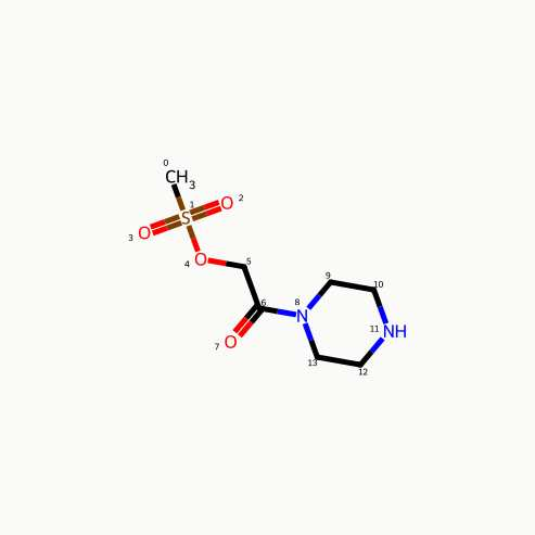 CS(=O)(=O)OCC(=O)N1CCNCC1